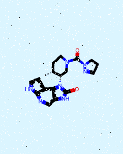 C[C@@H]1CCN(C(=O)N2CCC=N2)C[C@@H]1n1c(=O)[nH]c2cnc3[nH]ccc3c21